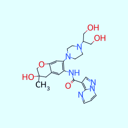 CC1(O)COc2cc(N3CCN(C(CO)CO)CC3)c(NC(=O)c3cnn4cccnc34)cc2C1